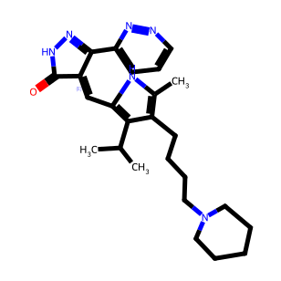 Cc1[nH]c(/C=C2/C(=O)NN=C2c2cccnn2)c(C(C)C)c1CCCCN1CCCCC1